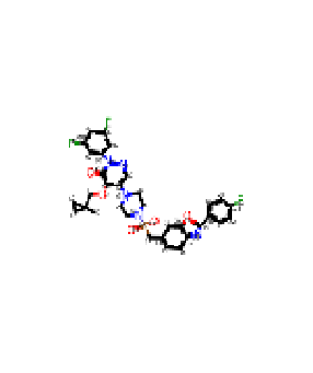 CC1(COc2c(N3CCN(S(=O)(=O)Cc4ccc5nc(-c6ccc(F)cc6)oc5c4)CC3)cnn(-c3cc(F)cc(F)c3)c2=O)CC1